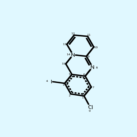 Clc1cc(I)c2c(c1)N=C1C=CC=CN1C2